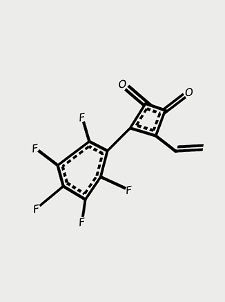 C=Cc1c(-c2c(F)c(F)c(F)c(F)c2F)c(=O)c1=O